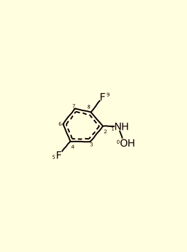 ONc1cc(F)ccc1F